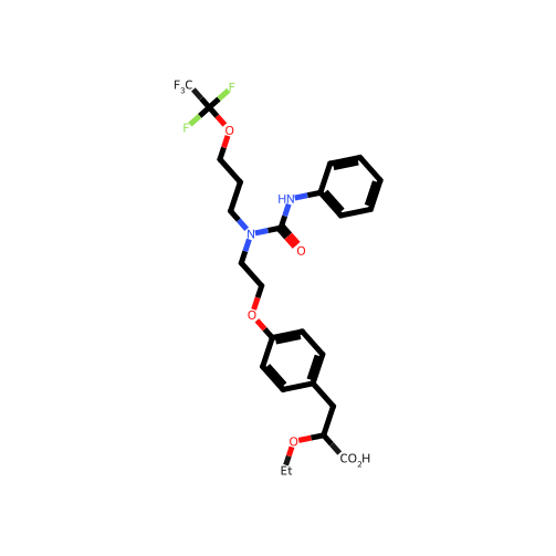 CCOC(Cc1ccc(OCCN(CCCOC(F)(F)C(F)(F)F)C(=O)Nc2ccccc2)cc1)C(=O)O